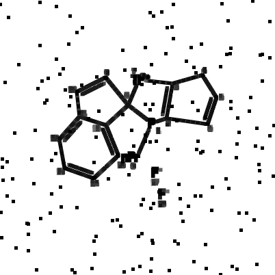 CCCP1C2=[C](CC=C2)[Ti+2][C]12C=Cc1ccccc12.[F-].[F-]